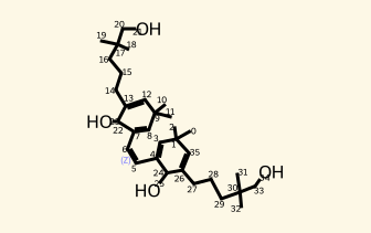 CC1(C)C=C(/C=C\C2=CC(C)(C)C=C(CCCC(C)(C)CO)C2O)C(O)C(CCCC(C)(C)CO)=C1